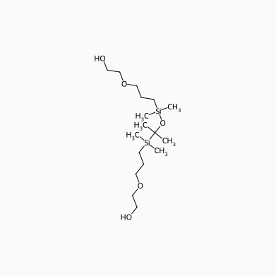 CC(C)(O[Si](C)(C)CCCOCCO)[Si](C)(C)CCCOCCO